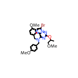 COCC(C)Oc1nc(N(Cc2ccc(OC)cc2)Cc2ccc(OC)cc2)c2ncc(Br)n2n1